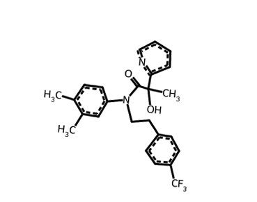 Cc1ccc(N(CCc2ccc(C(F)(F)F)cc2)C(=O)C(C)(O)c2ccccn2)cc1C